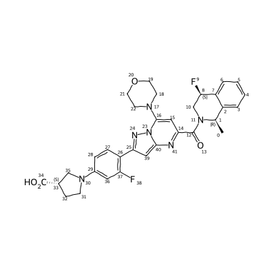 C[C@@H]1c2ccccc2[C@H](F)CN1C(=O)c1cc(N2CCOCC2)n2nc(-c3ccc(N4CC[C@H](C(=O)O)C4)cc3F)cc2n1